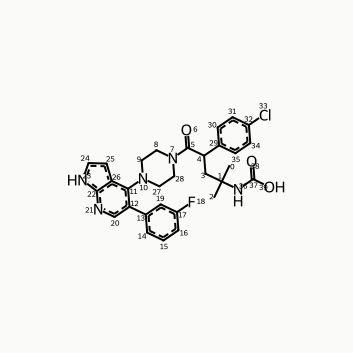 CC(C)(CC(C(=O)N1CCN(c2c(-c3cccc(F)c3)cnc3[nH]ccc23)CC1)c1ccc(Cl)cc1)NC(=O)O